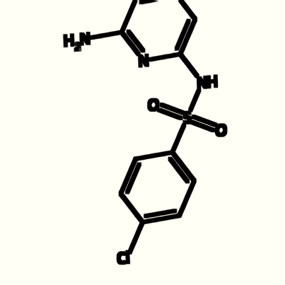 Nc1cccc(NS(=O)(=O)c2ccc(Cl)cc2)n1